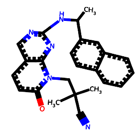 CC(Nc1ncc2ccc(=O)n(CC(C)(C)C#N)c2n1)c1ccc2ccccc2c1